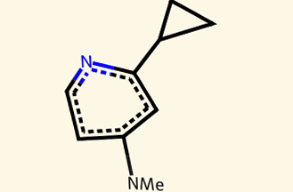 CNc1ccnc(C2CC2)c1